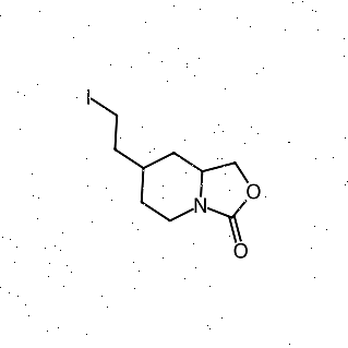 O=C1OCC2CC(CCI)CCN12